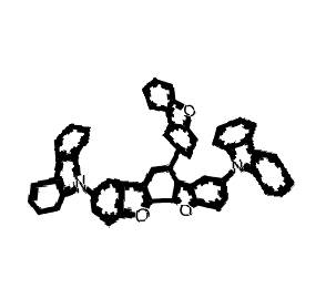 C1=Cc2c(n(-c3ccc4oc5c(c4c3)CC(c3ccc4oc6ccccc6c4c3)c3c-5oc4ccc(-n5c6ccccc6c6ccccc65)cc34)c3ccccc23)CC1